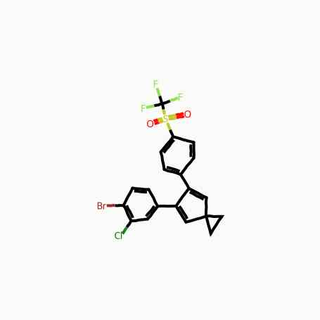 O=S(=O)(c1ccc(C2=CC3(C=C2c2ccc(Br)c(Cl)c2)CC3)cc1)C(F)(F)F